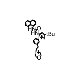 CC(C)(C)c1cc(NC(=O)Nc2cccc3ccccc23)n(-c2cccc(CCN3CCOCC3)c2)n1